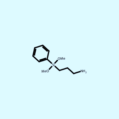 CO[Si](CCCN)(OC)c1ccccc1